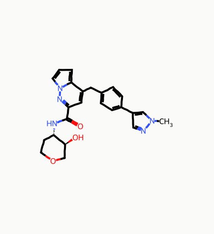 Cn1cc(-c2ccc(Cc3cc(C(=O)N[C@H]4CCOC[C@@H]4O)nn4cccc34)cc2)cn1